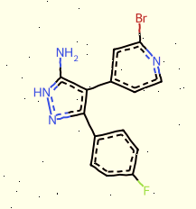 Nc1[nH]nc(-c2ccc(F)cc2)c1-c1ccnc(Br)c1